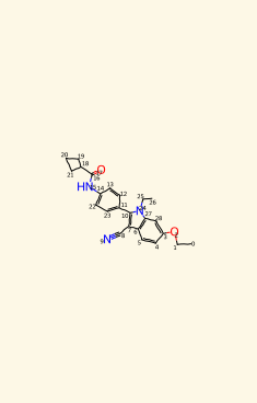 CCOc1ccc2c(C#N)c(-c3ccc(NC(=O)C4CCC4)cc3)n(CC)c2c1